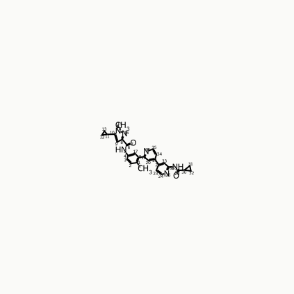 Cc1ccc(NC(=O)c2cc(C3CC3)n(C)n2)cc1-c1cc(-c2ccnc(NC(=O)C3CC3)c2)ccn1